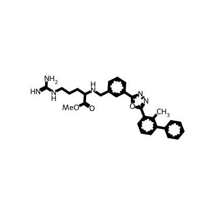 COC(=O)C(CCCNC(=N)N)NCc1cccc(-c2nnc(-c3cccc(-c4ccccc4)c3C)o2)c1